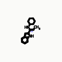 C/C=C(\NC1CCCCC1)c1cc2ccccc2[nH]1